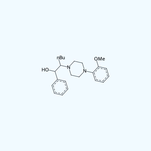 CCCCC(C(O)c1ccccc1)N1CCN(c2ccccc2OC)CC1